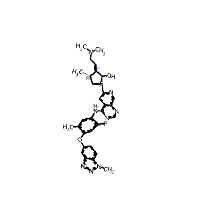 Cc1cc(Nc2ncnc3cnc(N4C[C@H](C)/C(=C\CN(C)C)C4O)cc23)c(F)cc1Oc1ccc2c(c1)nnn2C